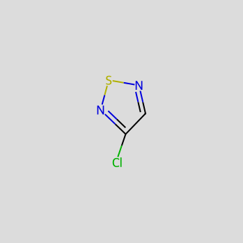 Clc1cnsn1